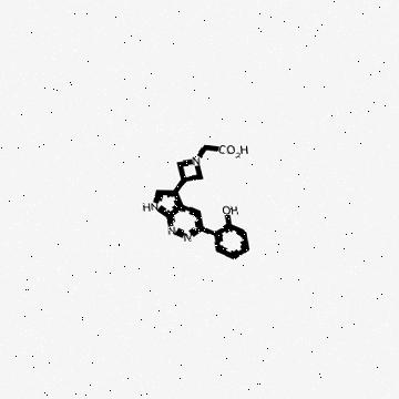 O=C(O)CN1CC(c2c[nH]c3nnc(-c4ccccc4O)cc23)C1